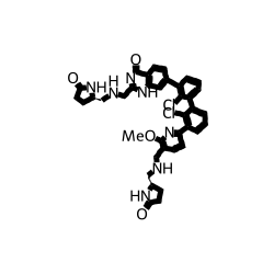 COc1nc(-c2cccc(-c3cccc(-c4ccc5c(=O)nc(CNC[C@@H]6CCC(=O)N6)[nH]c5c4)c3Cl)c2Cl)ccc1CNC[C@@H]1CCC(=O)N1